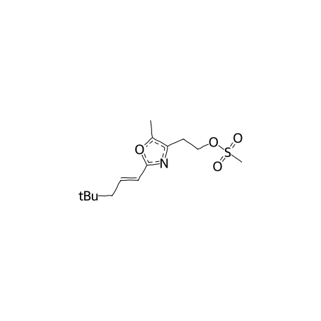 Cc1oc(/C=C/CC(C)(C)C)nc1CCOS(C)(=O)=O